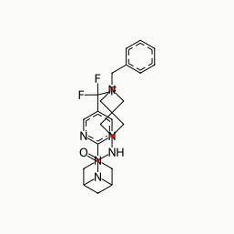 O=C(NC1CC2(C1)CN(Cc1ccccc1)C2)N1C2CC1CN(c1ncc(C(F)(F)F)cn1)C2